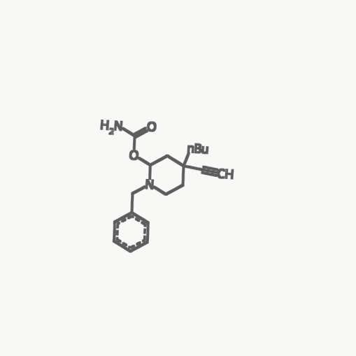 C#CC1(CCCC)CCN(Cc2ccccc2)C(OC(N)=O)C1